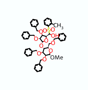 CO[C@H]1O[C@H](COCc2ccccc2)[C@@H](O[C@H]2O[C@H](C(O)S(=O)(=O)c3ccccc3C)[C@H](OCc3ccccc3)[C@H]2OCc2ccccc2)[C@H](OCc2ccccc2)[C@@H]1OCc1ccccc1